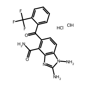 Cl.Cl.NC(=O)c1c(C(=O)c2ccccc2C(F)(F)F)ccc2c1nc(N)n2N